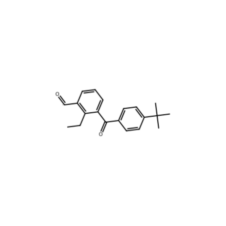 CCc1c([C]=O)cccc1C(=O)c1ccc(C(C)(C)C)cc1